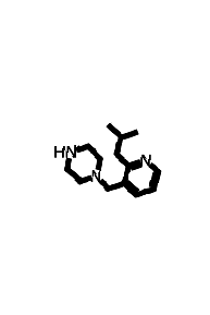 CC(C)Cc1ncccc1CN1CCNCC1